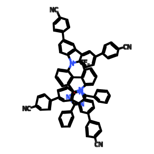 N#Cc1ccc(-c2ccc3c(c2)c2cc(-c4ccc(C#N)cc4)ccc2n3-c2cccc(-c3nc(-c4ccccc4)nc(-c4ccccc4)n3)c2-c2c(-n3c4ccc(-c5ccc(C#N)cc5)cc4c4cc(-c5ccc(C#N)cc5)ccc43)cccc2C(F)(F)F)cc1